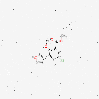 COC(=O)c1cc(Cl)cc(-c2ccoc2)c1OC